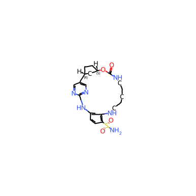 NS(=O)(=O)c1ccc2cc1NCCCCCNC(=O)O[C@H]1CC[C@H](C1)c1cnc(nc1)N2